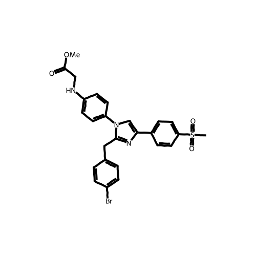 COC(=O)CNc1ccc(-n2cc(-c3ccc(S(C)(=O)=O)cc3)nc2Cc2ccc(Br)cc2)cc1